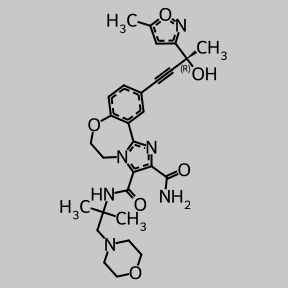 Cc1cc([C@](C)(O)C#Cc2ccc3c(c2)-c2nc(C(N)=O)c(C(=O)NC(C)(C)CN4CCOCC4)n2CCO3)no1